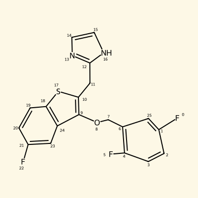 Fc1ccc(F)c(COc2c(Cc3ncc[nH]3)sc3ccc(F)cc23)c1